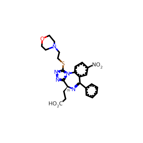 O=C(O)CC[C@@H]1N=C(c2ccccc2)c2cc([N+](=O)[O-])ccc2-n2c(SCCN3CCOCC3)nnc21